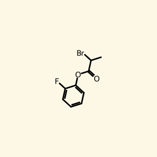 CC(Br)C(=O)Oc1ccccc1F